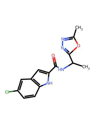 Cc1nnc(C(C)NC(=O)c2cc3cc(Cl)ccc3[nH]2)o1